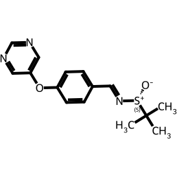 CC(C)(C)[S@@+]([O-])N=Cc1ccc(Oc2cncnc2)cc1